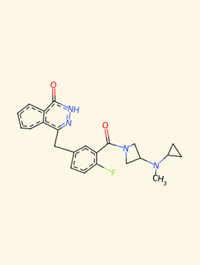 CN(C1CC1)C1CN(C(=O)c2cc(Cc3n[nH]c(=O)c4ccccc34)ccc2F)C1